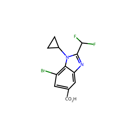 O=C(O)c1cc(Br)c2c(c1)nc(C(F)F)n2C1CC1